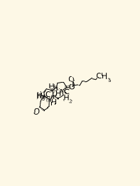 CCCCCCC(=O)O[C@H]1CC[C@H]2[C@@H]3CC[C@H]4CC(=O)CC[C@]4(C)[C@H]3CC[C@]12C